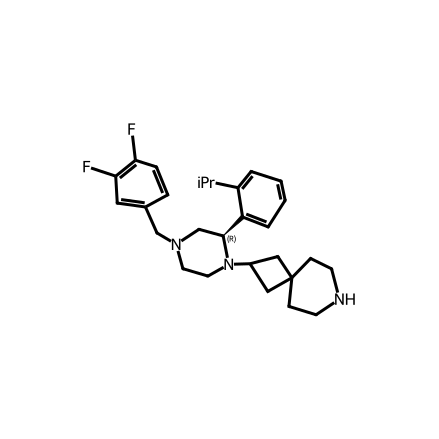 CC(C)c1ccccc1[C@@H]1CN(Cc2ccc(F)c(F)c2)CCN1C1CC2(CCNCC2)C1